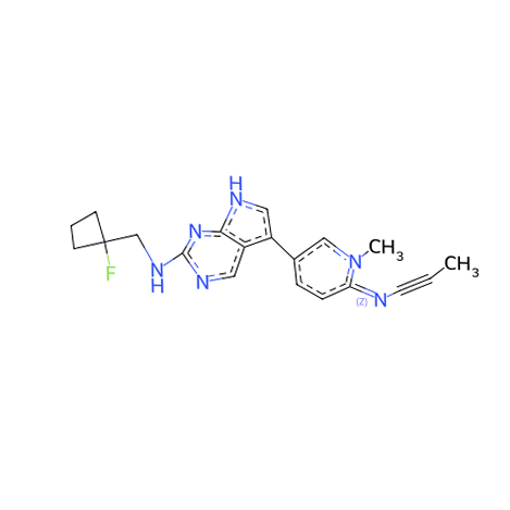 CC#C/N=c1/ccc(-c2c[nH]c3nc(NCC4(F)CCC4)ncc23)cn1C